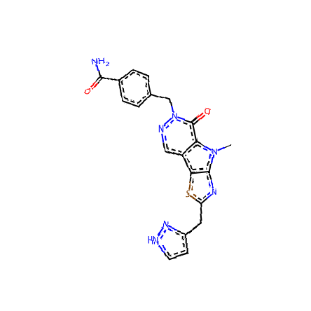 Cn1c2nc(Cc3cc[nH]n3)sc2c2cnn(Cc3ccc(C(N)=O)cc3)c(=O)c21